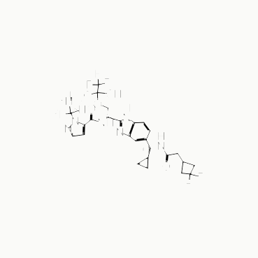 [2H]C([2H])([2H])n1nccc1C(=O)N[C@@H](COC(C)(C)C(F)(F)F)c1nc2cc([C@H](NC(=O)CC3CC(F)(F)C3)C3CC3)ccc2[nH]1